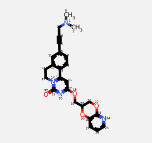 CN(C)CC#Cc1ccc2c(c1)CCn1c-2cc(OCC2COc3ncccc3O2)nc1=O